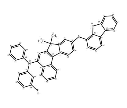 CC1(C)c2cc(Cc3cccc4c3oc3ccccc34)ccc2-c2c1cc(N(c1ccccc1)c1cccc(F)c1)c1ccccc21